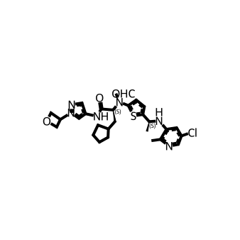 Cc1ncc(Cl)cc1N[C@@H](C)c1ccc(N(C=O)[C@@H](CC2CCCC2)C(=O)Nc2cnn(C3COC3)c2)s1